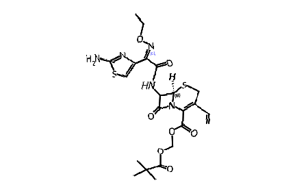 C=CC1=C(C(=O)OCOC(=O)C(C)(C)C)N2C(=O)C(NC(=O)/C(=N/OCC)c3csc(N)n3)[C@H]2SC1